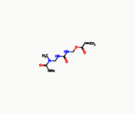 C=CC(=O)OCNC(=O)NCN(C)C(=O)NC